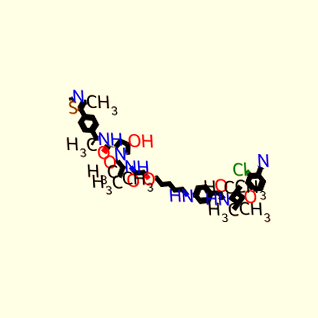 Cc1ncsc1-c1ccc([C@H](C)NC(=O)[C@@H]2C[C@@H](O)CN2C(=O)[C@@H](NC(=O)COCCCCCNc2ccc(C(=O)N[C@H]3C(C)(C)[C@H](Oc4ccc(C#N)c(Cl)c4)C3(C)C)cc2)C(C)(C)C)cc1